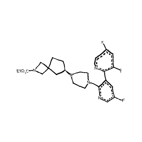 CCOC(=O)N1CC2(CC[C@@H](N3CCN(c4ncc(F)cc4-c4ncc(F)cc4F)CC3)C2)C1